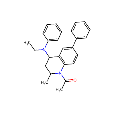 CCN(c1ccccc1)C1CC(C)N(C(C)=O)c2ccc(-c3ccccc3)cc21